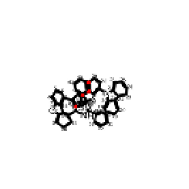 C1=c2oc3cccc(-c4ccc5sc6c(-n7c8ccccc8c8ccccc87)cccc6c5c4)c3c2=C(C2N=C(c3ccccc3)N=C(c3ccccc3)N2)CC1